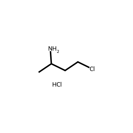 CC(N)CCCl.Cl